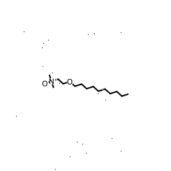 CCCCCCCCCCOCC[N+](C)(C)[O-]